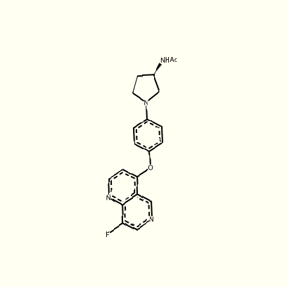 CC(=O)N[C@@H]1CCN(c2ccc(Oc3ccnc4c(F)cncc34)cc2)C1